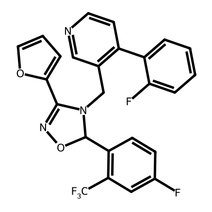 Fc1ccc(C2ON=C(c3ccco3)N2Cc2cnccc2-c2ccccc2F)c(C(F)(F)F)c1